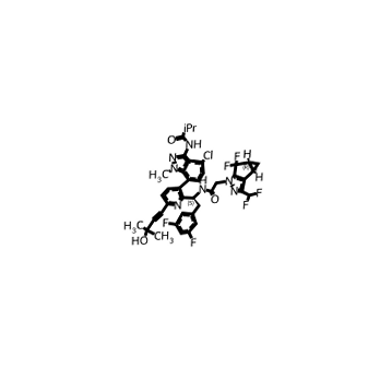 CC(C)C(=O)Nc1nn(C)c2c(-c3ccc(C#CC(C)(C)O)nc3[C@H](Cc3cc(F)cc(F)c3)NC(=O)Cn3nc(C(F)F)c4c3C(F)(F)[C@@H]3C[C@H]43)ccc(Cl)c12